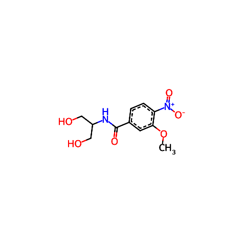 COc1cc(C(=O)NC(CO)CO)ccc1[N+](=O)[O-]